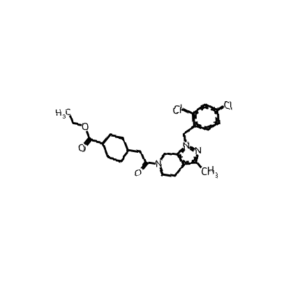 CCOC(=O)C1CCC(CC(=O)N2CCc3c(C)nn(Cc4ccc(Cl)cc4Cl)c3C2)CC1